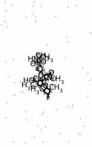 Cc1cc(F)cc(C)c1Oc1ccc(C(C)(C)O)cc1-c1cn(C)c(=O)cc1O[C@H]1CC[C@H](N2C(=O)NC(C)(C)C2=O)CC1